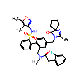 CCCCC1=NC2(CCCC2)C(=O)N1Cc1ccc(-c2ccccc2S(=O)(=O)Nc2noc(C)c2C)c(CN(C)C(=O)Cc2ccccc2F)c1